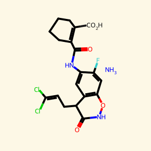 N.O=C(O)C1=C(C(=O)Nc2cc3c(cc2F)ONC(=O)C3CC=C(Cl)Cl)CCCC1